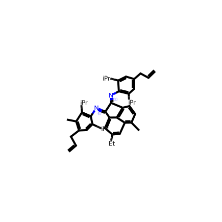 C=CCc1cc(C(C)C)c(/N=C2/C(=N/c3c(C(C)C)cc(CC=C)c(C)c3C(C)C)c3cc(CC)cc4c(C)ccc2c34)c(C(C)C)c1